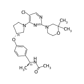 CC(=O)N[C@@H](C)c1ccc(O[C@@H]2CCN(c3nc(N4CCOC(C)(C)C4)ncc3Cl)C2)cc1